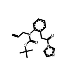 C=CCN(C(=O)OC(C)(C)C)c1ccccc1CC(=O)n1ccnc1